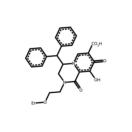 CCOCCN1CC(C(c2ccccc2)c2ccccc2)n2cc(C(=O)O)c(=O)c(O)c2C1=O